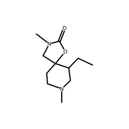 CCC1CN(C)CCC12CN(C)C(=O)O2